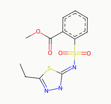 CCC1=N[N]C(=NS(=O)(=O)c2ccccc2C(=O)OC)S1